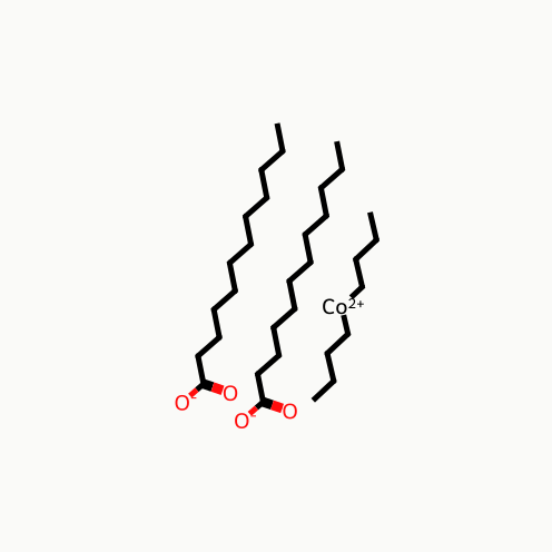 CCCCCCCCCCCC(=O)[O-].CCCCCCCCCCCC(=O)[O-].CCC[CH2][Co+2][CH2]CCC